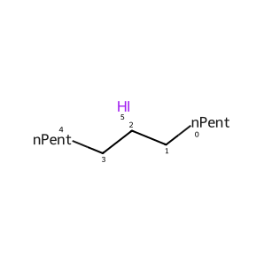 CCCCCCCCCCCCC.I